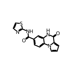 O=C(Nc1nccs1)c1ccc2c(c1)[nH]c(=O)c1cccn12